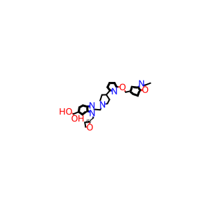 Cc1nc2cc(COc3cccc(C4CCN(Cc5nc6ccc(C(O)O)cc6n5C[C@@H]5CCO5)CC4)n3)ccc2o1